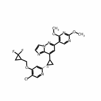 COc1ncc(-c2cc(C3C[C@@H]3c3cc(OCC4CC4(F)F)c(Cl)cn3)c3nccn3n2)c(OC)n1